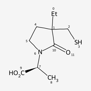 CCC1(CS)CCN([C@@H](C)C(=O)O)C1=O